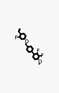 C=Cc1ccc(OCc2ccc(-c3ccc(OC)c(F)c3F)cc2)cc1F